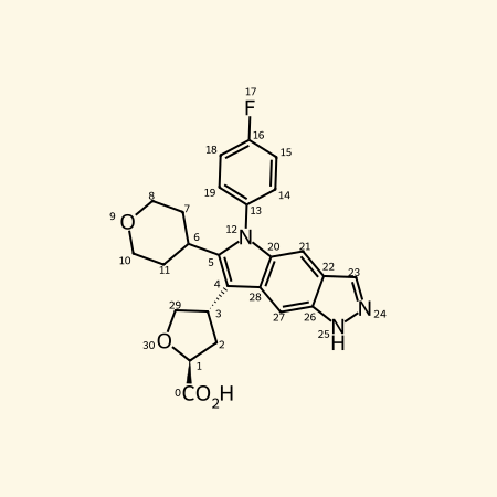 O=C(O)[C@@H]1C[C@@H](c2c(C3CCOCC3)n(-c3ccc(F)cc3)c3cc4cn[nH]c4cc23)CO1